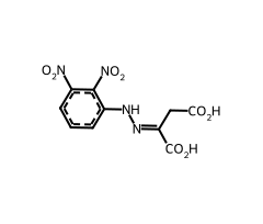 O=C(O)CC(=NNc1cccc([N+](=O)[O-])c1[N+](=O)[O-])C(=O)O